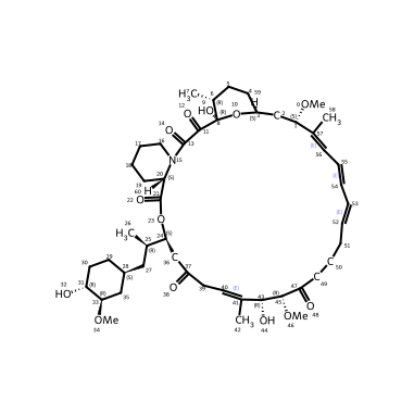 CO[C@H]1C[C@@H]2CC[C@@H](C)[C@@](O)(O2)C(=O)C(=O)N2CCCC[C@H]2C(=O)O[C@H]([C@H](C)C[C@@H]2CC[C@@H](O)[C@H](OC)C2)CC(=O)C/C=C(\C)[C@@H](O)[C@@H](OC)C(=O)CCC/C=C/C=C/C=C/1C